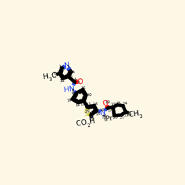 Cc1cncc(C(=O)Nc2ccc(-c3cc(N(C(=O)C4CCC(C)CC4)C(C)C)c(C(=O)O)s3)cc2)c1